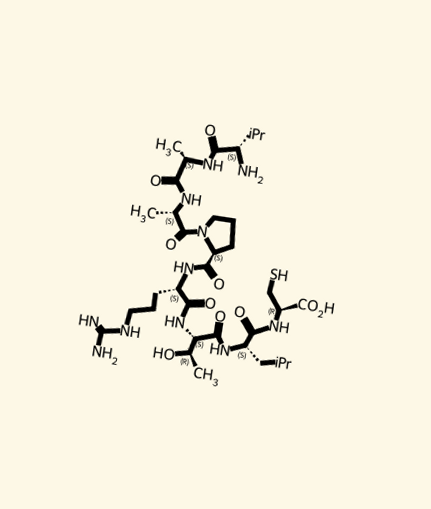 CC(C)C[C@H](NC(=O)[C@@H](NC(=O)[C@H](CCCNC(=N)N)NC(=O)[C@@H]1CCCN1C(=O)[C@H](C)NC(=O)[C@H](C)NC(=O)[C@@H](N)C(C)C)[C@@H](C)O)C(=O)N[C@@H](CS)C(=O)O